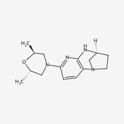 C[C@H]1CN(c2ccc3c(n2)N[C@H]2CCN3C2)C[C@H](C)O1